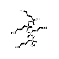 C[Si](O)(CCCO)O[Si](C)(CCCO)O[Si](C)(CCCO)O[Si](C)(O)CCCO